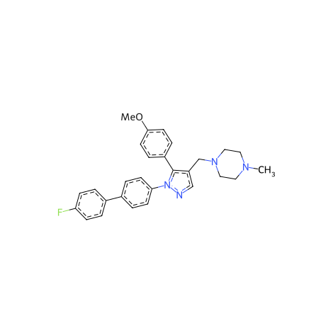 COc1ccc(-c2c(CN3CCN(C)CC3)cnn2-c2ccc(-c3ccc(F)cc3)cc2)cc1